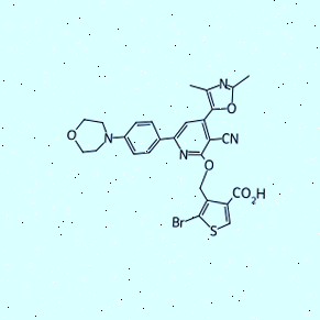 Cc1nc(C)c(-c2cc(-c3ccc(N4CCOCC4)cc3)nc(OCc3c(C(=O)O)csc3Br)c2C#N)o1